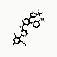 COc1cc(F)cc(F)c1-c1nccc(Nc2cc(N3CCC[C@H](N)C3)c(-c3cnn(C(F)(F)F)c3)cn2)n1